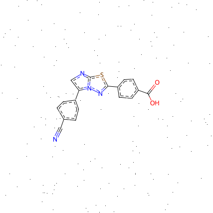 N#Cc1ccc(-c2cnc3sc(-c4ccc(C(=O)O)cc4)nn23)cc1